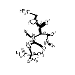 CCOC(=O)C(C(=O)N=O)N(I)C(=O)OC(C)(C)C